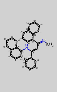 C/N=C(\C=C(/Nc1c(C)ccc2ccccc12)c1ccccc1)c1cccc2ccccc12